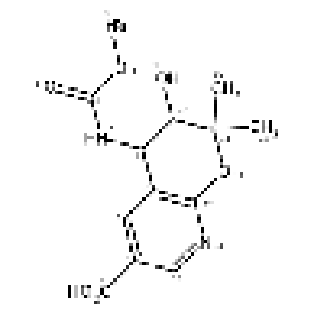 CC(C)(C)OC(=O)NC1c2cc(C(=O)O)cnc2OC(C)(C)C1O